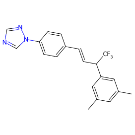 Cc1cc(C)cc(C(/C=C/c2ccc(-n3cncn3)cc2)C(F)(F)F)c1